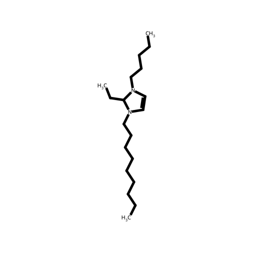 CCCCCCCCCN1C=CN(CCCCC)C1CC